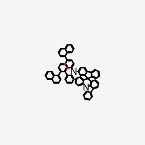 c1ccc(-c2cccc3ccccc23)c(-c2ccccc2N(c2ccc(-c3cccc4ccccc34)cc2)c2ccc3c(c2)C2(c4ccccc4-3)c3ccccc3-n3c4ccccc4c4cccc2c43)c1